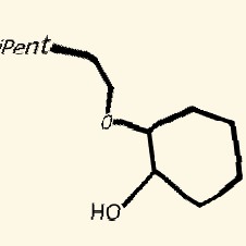 CCCC(C)COC1CCCCC1O